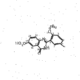 CCCCOc1ccc(C)cc1-c1nc2ccc(C(=O)O)cc2c(=O)[nH]1